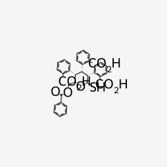 O=C(OC[C@@H]1O[C@H](S)[C@@H](c2ccccc2C(=O)O)[C@@H](c2ccccc2C(=O)O)[C@H]1c1ccccc1C(=O)O)c1ccccc1